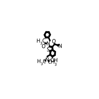 CC(=O)N(Cc1ccccc1)c1sc2c(CN(C)C)c(O)ccc2c1C(=O)C#N